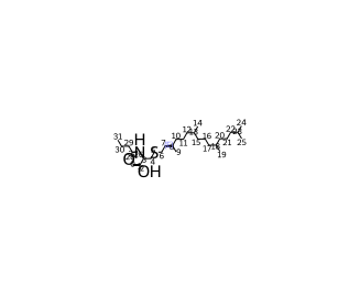 C=C(O)C(CSC/C=C(\C)CCCC(C)CCCC(C)CCCC(C)C)NC(=O)CCC